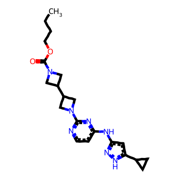 CCCCOC(=O)N1CC(C2CN(c3nccc(Nc4cc(C5CC5)[nH]n4)n3)C2)C1